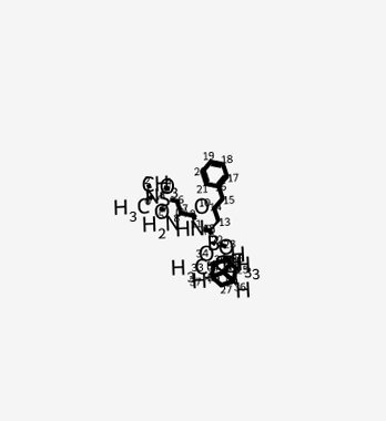 CN(C)S(=O)(=O)C[C@H](N)C(=O)N[C@@H](CCCc1ccccc1)B1O[C@@H]2C[C@@H]3C[C@@H](C3(C)C)[C@]2(C)O1